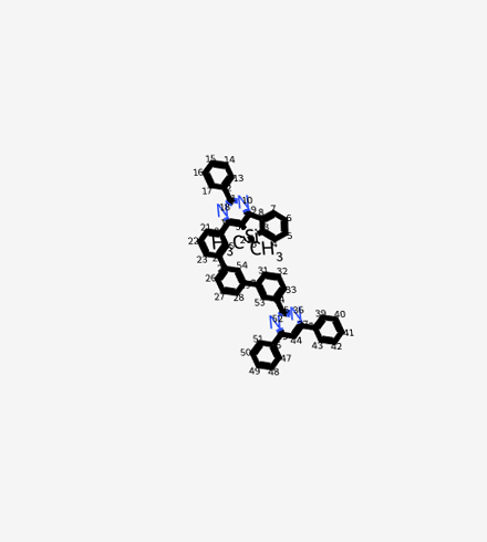 C[Si]1(C)c2ccccc2-c2nc(-c3ccccc3)nc(-c3cccc(-c4cccc(-c5cccc(-c6nc(-c7ccccc7)cc(-c7ccccc7)n6)c5)c4)c3)c21